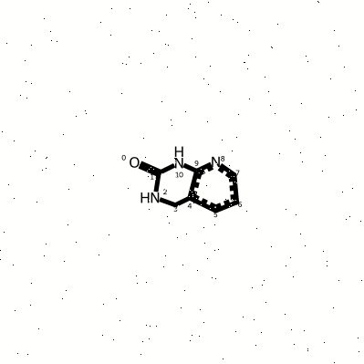 O=C1NCc2cccnc2N1